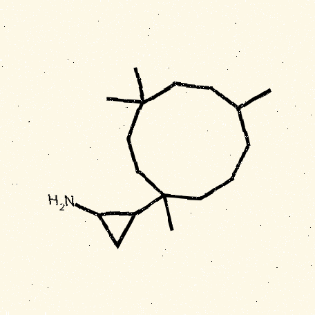 CC1CCCC(C)(C2CC2N)CCC(C)(C)CC1